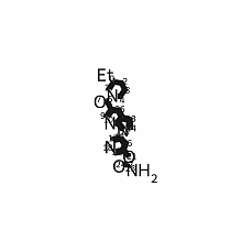 CCC1CCCN(C(=O)c2cnc3c(ccn3-c3cncc(OC(N)=O)c3)c2)C1